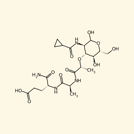 C[C@H](NC(=O)[C@@H](C)O[C@H]1[C@H](O)[C@@H](CO)OC(O)[C@@H]1NC(=O)C1CC1)C(=O)N[C@H](CCC(=O)O)C(N)=O